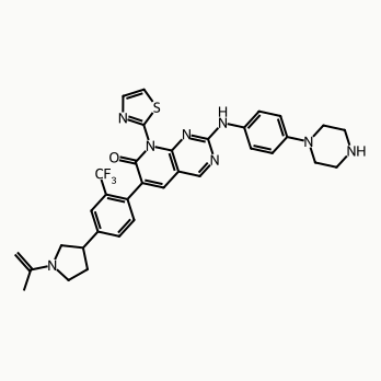 C=C(C)N1CCC(c2ccc(-c3cc4cnc(Nc5ccc(N6CCNCC6)cc5)nc4n(-c4nccs4)c3=O)c(C(F)(F)F)c2)C1